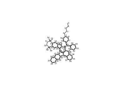 CCCCCc1ccc(N2B3c4oc5cc6c(cc5c4-n4c5cc7ccccc7cc5c5c7ccccc7c(c3c54)-c3ccccc32)C(C)(C)CCC6(C)C)cc1